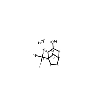 Cl.OC1CC2CCC(C(F)(F)F)(C1)N2